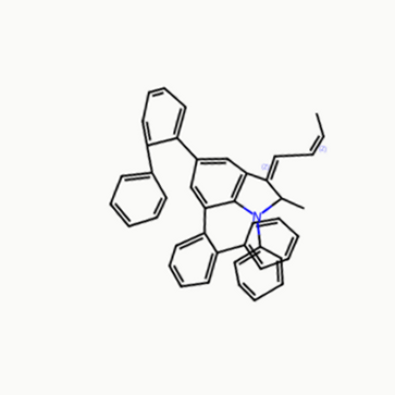 C/C=C\C=C1\c2cc(-c3ccccc3-c3ccccc3)cc(-c3ccccc3-c3ccccc3)c2N(c2ccccc2)C1C